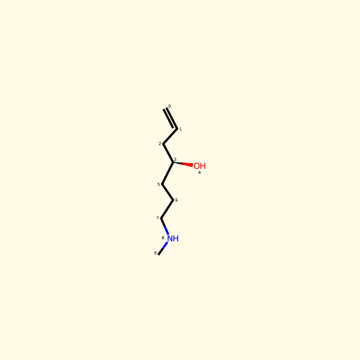 C=CC[C@@H](O)CCCNC